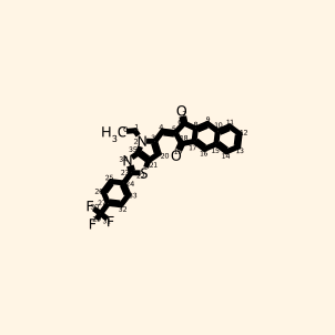 CCn1c(C=C2C(=O)c3cc4ccccc4cc3C2=O)cc2sc(-c3ccc(C(F)(F)F)cc3)nc21